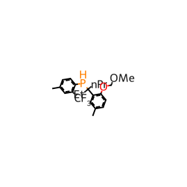 CCCC(CC)(Pc1ccc(C)cc1C(F)(F)F)c1cc(C)ccc1OCOC